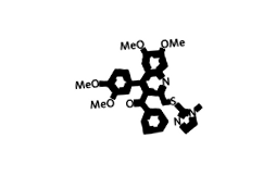 COc1ccc(-c2c(C(=O)c3ccccc3)c(CSc3nccn3C)nc3cc(OC)c(OC)cc23)cc1OC